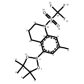 Cc1cc(B2OC(C)(C)C(C)(C)O2)c2c(c1)N(S(=O)(=O)C(F)(F)F)CCC2